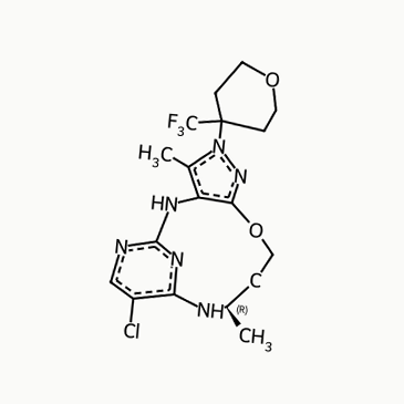 Cc1c2c(nn1C1(C(F)(F)F)CCOCC1)OCC[C@@H](C)Nc1nc(ncc1Cl)N2